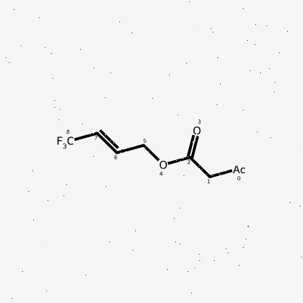 CC(=O)CC(=O)OC/C=C/C(F)(F)F